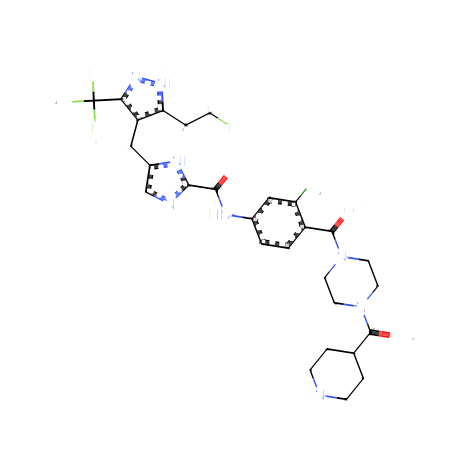 O=C(Nc1ccc(C(=O)N2CCN(C(=O)C3CCNCC3)CC2)c(Cl)c1)c1ncc(Cc2c(C(F)(F)F)n[nH]c2CCF)[nH]1